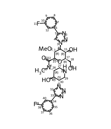 CO[C@@H]1[C@@H](n2cc(-c3cccc(F)c3)nn2)[C@@H](O)[C@@H](CO)O[C@H]1C(=O)N(C)[C@@H]1CNC[C@H](n2cc(-c3cccc(F)c3)nn2)[C@H]1O